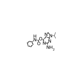 CC(C)n1cnc2c(OC(=O)Nc3ccccc3)nc(N)nc21